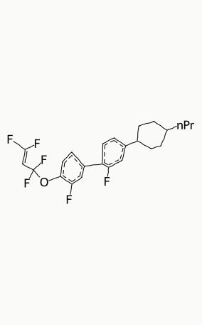 CCCC1CCC(c2ccc(-c3ccc(OC(F)(F)C=C(F)F)c(F)c3)c(F)c2)CC1